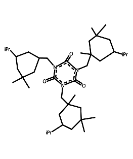 CC(C)C1CC(Cn2c(=O)n(CC3(C)CC(C(C)C)CC(C)(C)C3)c(=O)n(CC3(C)CC(C(C)C)CC(C)(C)C3)c2=O)CC(C)(C)C1